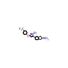 CCn1nc(Oc2ccc(C(F)(F)F)cc2)cc1-c1ccc2c(c1)CC(N)C2